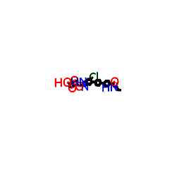 CCCNC(=O)c1ccc(-c2ccc(-c3cc4nc(OC5COC6C(O)COC56)[nH]c4cc3Cl)cc2)cc1